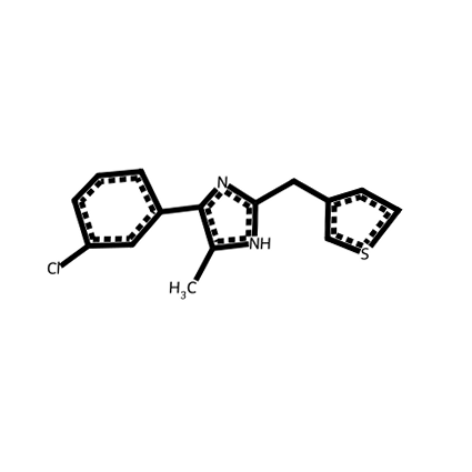 Cc1[nH]c(Cc2ccsc2)nc1-c1cccc(Cl)c1